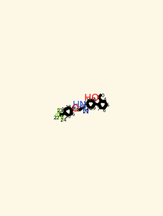 CC(O)c1ccccc1-c1ccc2[nH]c(COc3ccc(C(F)(F)F)cc3)nc2c1